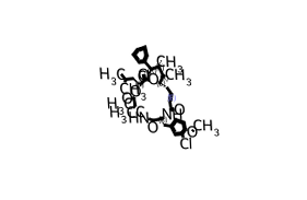 COc1ccc(C[C@H]2NC(=O)/C=C/C[C@@H]([C@H](C)[C@@H](C)[C@@H](Cl)c3ccccc3)OC(=O)[C@H](CC(C)C)OC(=O)C(C)(C)CNC2=O)cc1Cl